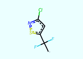 [CH2]C(F)(F)c1cc(Cl)ns1